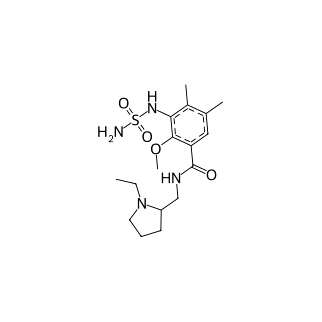 CCN1CCCC1CNC(=O)c1cc(C)c(C)c(NS(N)(=O)=O)c1OC